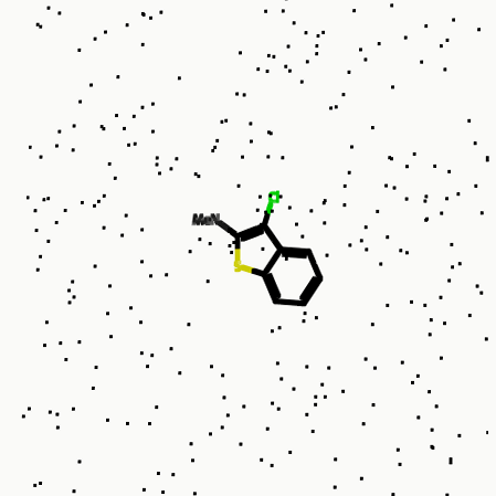 CNc1sc2ccccc2c1Cl